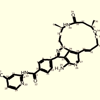 C[C@@H]1CCn2nc(-c3ccc(C(=O)Nc4cc(C(F)(F)F)ccn4)cc3)c3c(N)ncc(c32)/C=C/CCO[C@H](C)CC(=O)N1